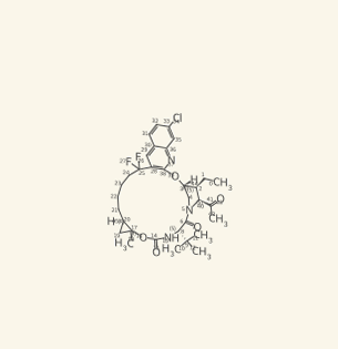 CC[C@@H]1[C@@H]2CN(C(=O)[C@H](C(C)(C)C)NC(=O)O[C@]3(C)C[C@H]3CCCCC(F)(F)c3cc4ccc(Cl)cc4nc3O2)[C@@H]1C(C)=O